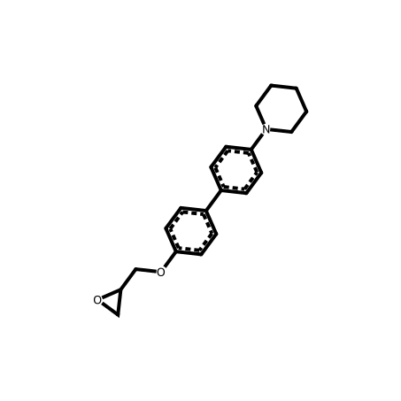 c1cc(-c2ccc(N3CCCCC3)cc2)ccc1OCC1CO1